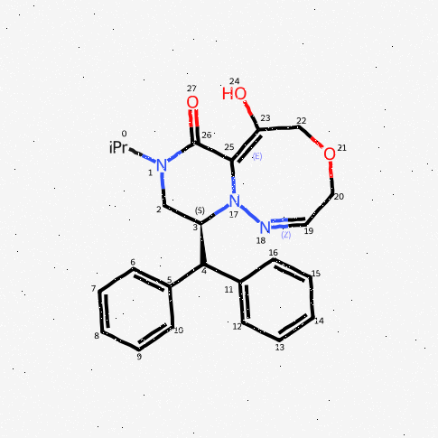 CC(C)N1C[C@H](C(c2ccccc2)c2ccccc2)N2/N=C\COC/C(O)=C\2C1=O